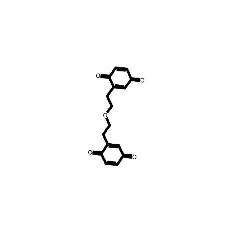 O=C1C=CC(=O)C(CCOCCC2=CC(=O)C=CC2=O)=C1